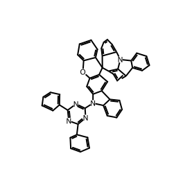 c1ccc(-c2nc(-c3ccccc3)nc(-n3c4ccccc4c4cc5c(cc43)Oc3ccccc3C53c4ccccc4-n4c5ccccc5c5cccc3c54)n2)cc1